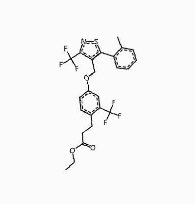 CCOC(=O)CCc1ccc(OCc2c(C(F)(F)F)nsc2-c2ccccc2C)cc1C(F)(F)F